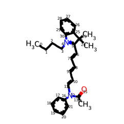 CCCC[N+]1=C(/C=C/C=C/C=C/N(C(C)=O)c2ccccc2)C(C)(C)c2ccccc21